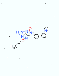 CCCCOc1nc(N)c2c(n1)CN(Cc1cccc(-c3cccc(N4CCCC4)c3)c1)C(=O)N2